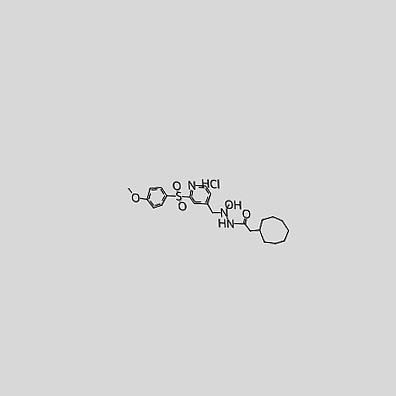 COc1ccc(S(=O)(=O)c2cc(CN(O)NC(=O)CC3CCCCCCC3)ccn2)cc1.Cl